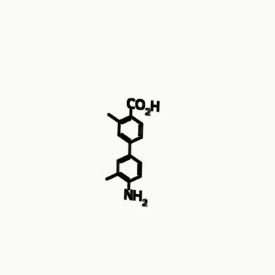 Cc1cc(-c2ccc(C(=O)O)c(C)c2)ccc1N